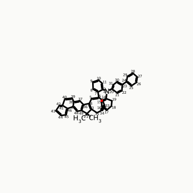 CC1(C)C2=C(/C=C(/c3ccccc3N(C3=CC=CCC3)c3ccc(-c4ccccc4)cc3)CC#CC2)c2cc3ccc4ccccc4c3cc21